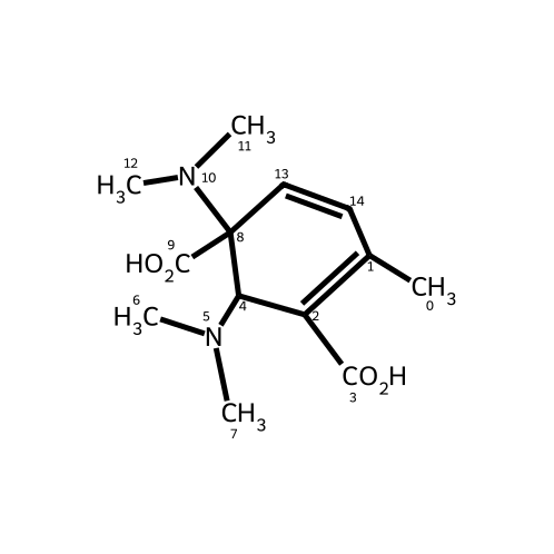 CC1=C(C(=O)O)C(N(C)C)C(C(=O)O)(N(C)C)C=C1